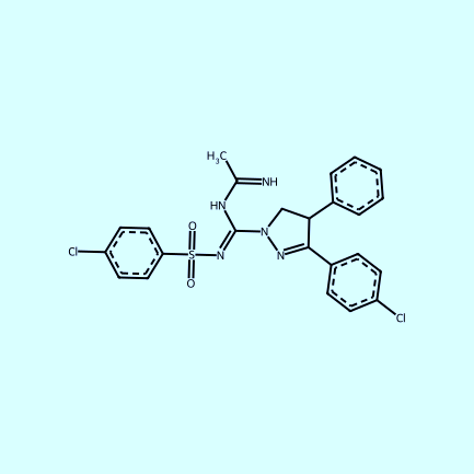 CC(=N)N/C(=N\S(=O)(=O)c1ccc(Cl)cc1)N1CC(c2ccccc2)C(c2ccc(Cl)cc2)=N1